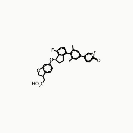 Cc1cc(-c2ccc(=O)n(C)c2)cc(C)c1-c1ccc(F)c2c1CC[C@H]2Oc1ccc2c(c1)OCC2CC(=O)O